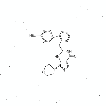 N#Cc1ccc(-c2ccccc2CC2NC(=O)c3cnn(C4CCOCC4)c3N2)cn1